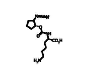 [N-]=[N+]=NC1CCC[C@H]1OC(=O)N[C@H](CCCCN)C(=O)O